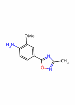 COc1cc(-c2nc(C)no2)ccc1N